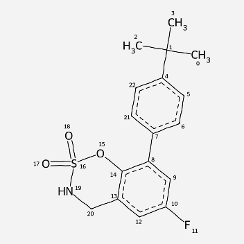 CC(C)(C)c1ccc(-c2cc(F)cc3c2OS(=O)(=O)NC3)cc1